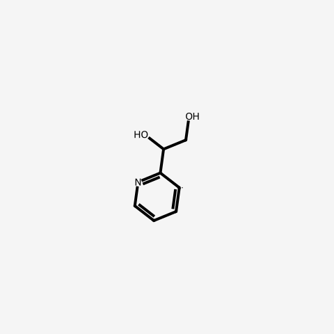 OCC(O)c1[c]cccn1